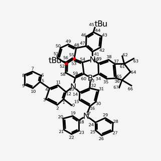 Cc1ccc(-c2ccccc2)cc1N1c2cc(N(c3ccccc3)c3ccccc3)ccc2B2c3cc4c(cc3N(c3ccc(C(C)(C)C)cc3-c3ccccc3)c3cc(C(C)(C)C)cc1c32)C(C)(C)CC4(C)C